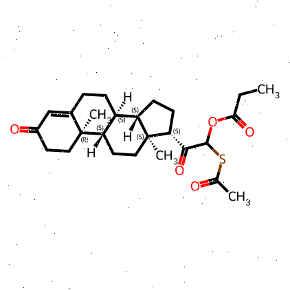 CCC(=O)OC(SC(C)=O)C(=O)[C@H]1CC[C@H]2[C@@H]3CCC4=CC(=O)CC[C@]4(C)[C@H]3CC[C@]12C